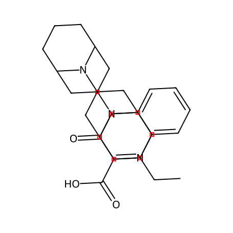 CCC1CC2CC(C1)CC(N1C3CCCC1CC(n1c(=O)c(C(=O)O)nc4ccccc41)C3)C2